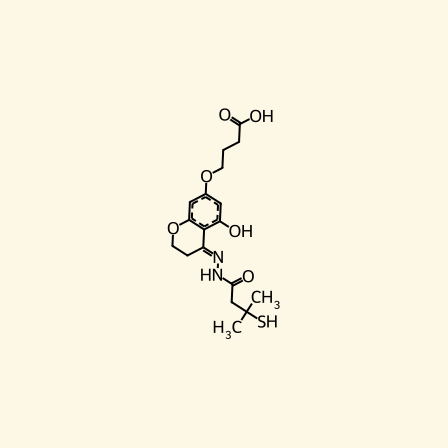 CC(C)(S)CC(=O)NN=C1CCOc2cc(OCCCC(=O)O)cc(O)c21